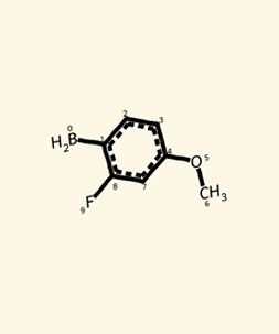 Bc1ccc(OC)cc1F